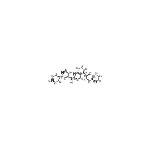 CN1CCN(c2cc(Nc3ncc4c(n3)CCC=C4c3ccc4c(c3)CCCO4)ccn2)CC1